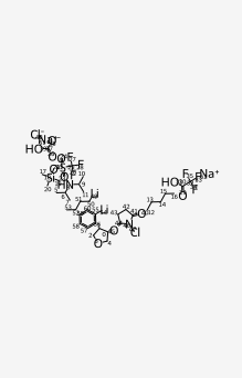 C1CCOC1.CC(C)NC(C)C.CCCCC.C[Si](C)(C)OS(=O)(=O)C(F)(F)F.O=C(O)C(F)(F)F.O=C([O-])O.O=C1CCC(=O)N1Cl.[Cl-].[Li][CH2]CCC.[Li][c]1ccccc1.[Na+].[Na+]